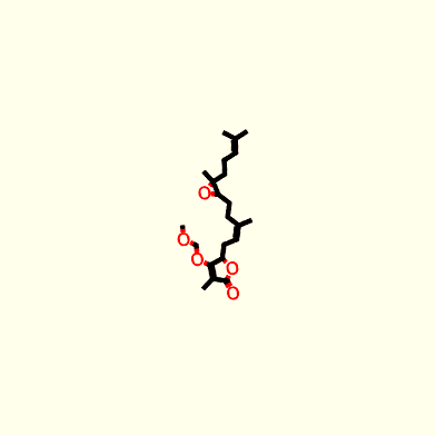 COCOC1=C(C)C(=O)OC1CC=C(C)CCC1OC1(C)CCC=C(C)C